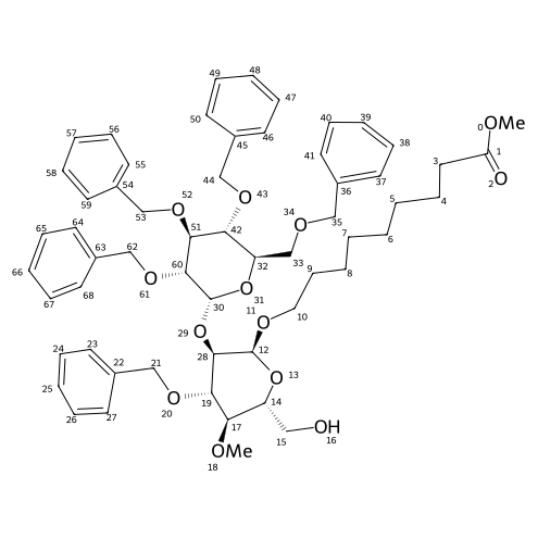 COC(=O)CCCCCCCCO[C@H]1O[C@H](CO)[C@@H](OC)[C@H](OCc2ccccc2)[C@H]1O[C@H]1O[C@H](COCc2ccccc2)[C@@H](OCc2ccccc2)[C@H](OCc2ccccc2)[C@H]1OCc1ccccc1